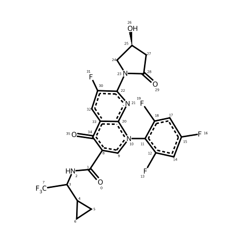 O=C(NC(C1CC1)C(F)(F)F)c1cn(-c2c(F)cc(F)cc2F)c2nc(N3C[C@@H](O)CC3=O)c(F)cc2c1=O